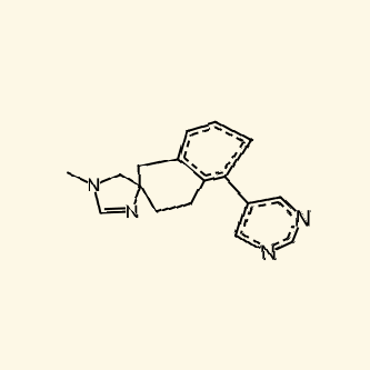 CN1C=NC2(CCc3c(cccc3-c3cncnc3)C2)C1